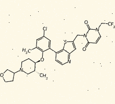 Cc1cc(Cl)cc(-c2ccnc3cc(Cn4c(=O)ccn(CC(F)(F)F)c4=O)sc23)c1O[C@@H]1CCN(C2CCOC2)C[C@H]1C